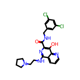 O=C(NCc1cc(Cl)cc(Cl)c1)c1nc(NCCN2CCCC2)c2cccnc2c1O